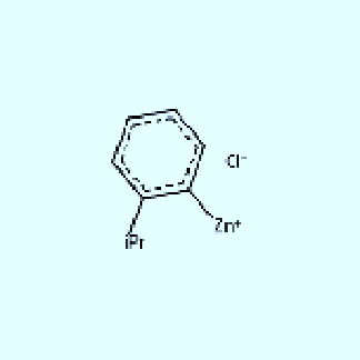 CC(C)c1cccc[c]1[Zn+].[Cl-]